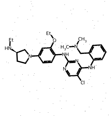 CCN[C@@H]1CCN(c2ccc(Nc3ncc(Cl)c(Nc4ccccc4CN(C)C)n3)c(OCC)c2)C1